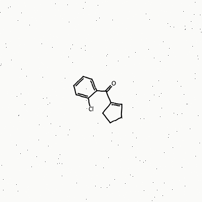 O=C(C1=CCCC1)c1ccccc1Cl